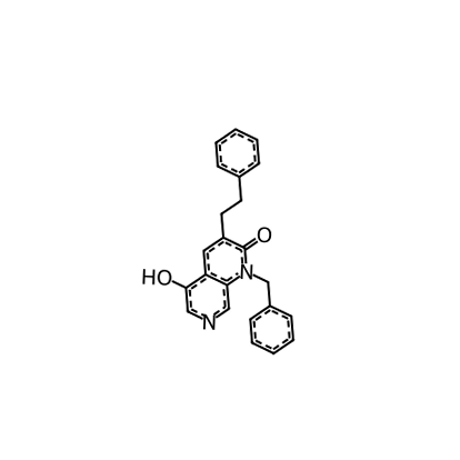 O=c1c(CCc2ccccc2)cc2c(O)cncc2n1Cc1ccccc1